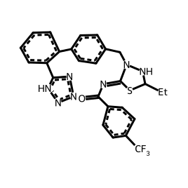 CCC1NN(Cc2ccc(-c3ccccc3-c3nnn[nH]3)cc2)C(=NC(=O)c2ccc(C(F)(F)F)cc2)S1